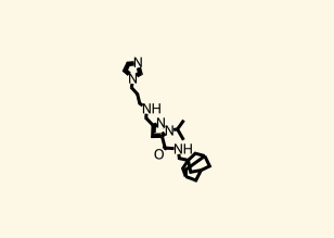 CC(C)n1nc(CNCCCn2ccnc2)cc1C(=O)NCC12CC3CC(CC(C3)C1)C2